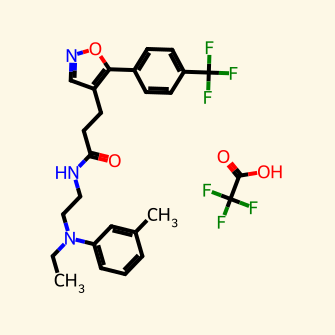 CCN(CCNC(=O)CCc1cnoc1-c1ccc(C(F)(F)F)cc1)c1cccc(C)c1.O=C(O)C(F)(F)F